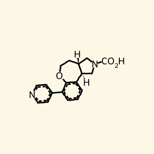 O=C(O)N1C[C@H]2CCOc3c(-c4ccncc4)cccc3[C@@H]2C1